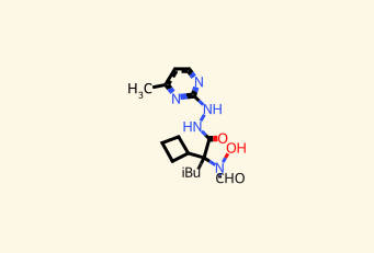 CCC(C)C(C(=O)NNc1nccc(C)n1)(C1CCC1)N(O)C=O